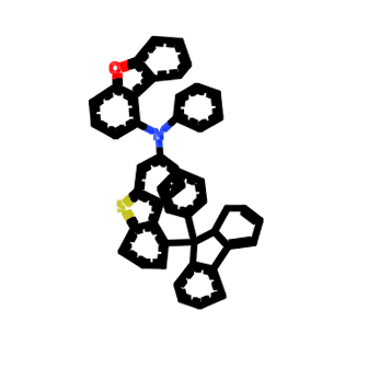 C1=CCC2C(=C1)c1ccccc1C2(c1ccccc1)c1cccc2sc3cc(N(c4ccccc4)c4cccc5oc6ccccc6c45)ccc3c12